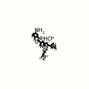 Cc1ncc(N)cc1NC(=O)c1cnc2c(c1)cc(-c1cnn(C)c1)n2COCC[Si](C)(C)C.Cl